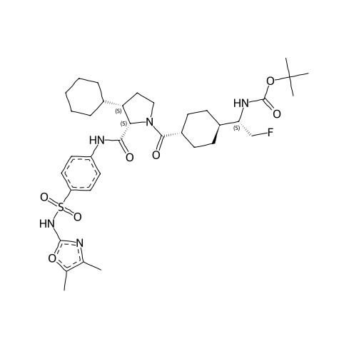 Cc1nc(NS(=O)(=O)c2ccc(NC(=O)[C@@H]3[C@H](C4CCCCC4)CCN3C(=O)[C@H]3CC[C@H]([C@@H](CF)NC(=O)OC(C)(C)C)CC3)cc2)oc1C